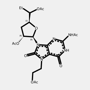 CCC(OC(C)=O)[C@@H]1C[C@@H](OC(C)=O)[C@H](n2c(=O)n(CCOC(C)=O)c3c(=O)[nH]c(NC(C)=O)nc32)O1